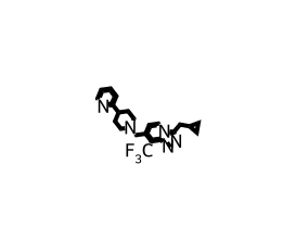 FC(F)(F)c1c(CN2CCC(c3ccccn3)CC2)ccn2c(CC3CC3)nnc12